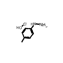 Cc1ccc(NN)cc1.OCl